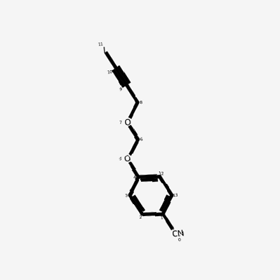 N#Cc1ccc(OCOCC#CI)cc1